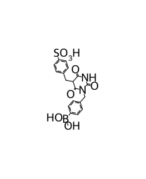 O=C1NC(=O)N(Cc2ccc(B(O)O)cc2)C(=O)C1Cc1ccc(S(=O)(=O)O)cc1